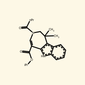 CCCC(=O)N1C=C(C(=O)OC(C)C)c2[nH]c3ccccc3c2C(C)(C)C1